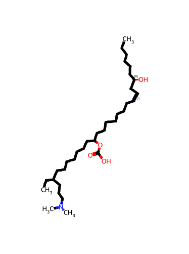 CCCCCC[C@@H](O)C/C=C\CCCCCCCC(CCCCCCCC(CC)CCCN(C)C)OC(=O)O